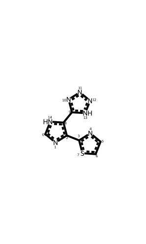 [c]1nc(-c2nccs2)c(-c2nnn[nH]2)[nH]1